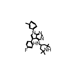 Cc1cccc(-n2cc(-c3ccc(F)cc3)c3c(NC4CC(C)(C)NC(C)(C)C4)ncnc32)c1